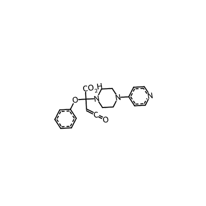 O=C=CC(Oc1ccccc1)(C(=O)O)N1CCN(c2ccncc2)CC1